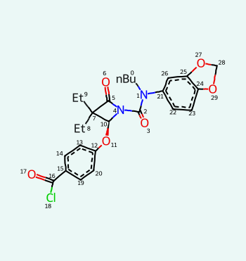 CCCCN(C(=O)N1C(=O)C(CC)(CC)[C@@H]1Oc1ccc(C(=O)Cl)cc1)c1ccc2c(c1)OCO2